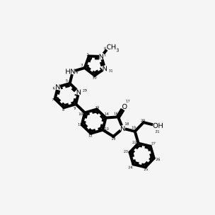 Cn1cc(Nc2nccc(-c3ccc4c(c3)C(=O)N(C(CO)c3ccccc3)C4)n2)cn1